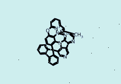 Cc1cc2n(n1)[N+]13c4c(ccc5c4-n4c6c(cncc6c6ncc[n+]1c64)C51c4ccccc4-c4ccccc41)Oc1cccc-2[n+]13